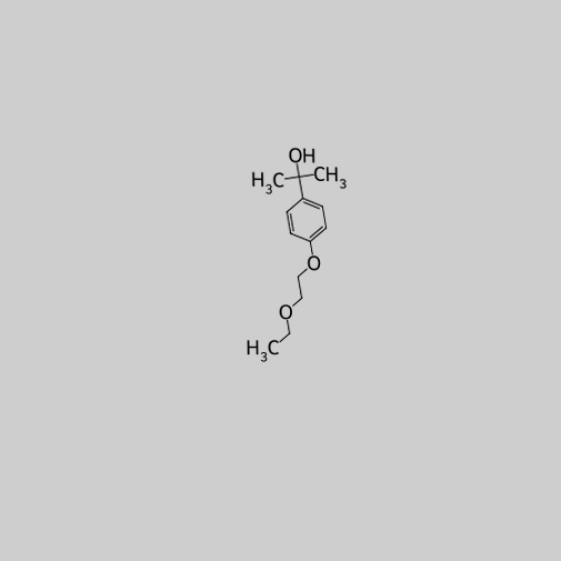 CCOCCOc1ccc(C(C)(C)O)cc1